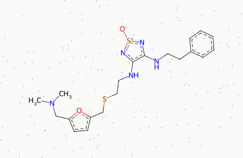 CN(C)Cc1ccc(CSCCNc2n[s+]([O-])nc2NCCc2ccccc2)o1